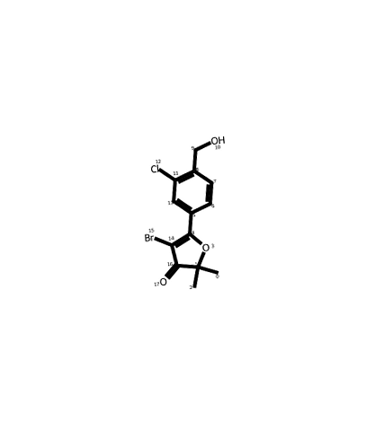 CC1(C)OC(c2ccc(CO)c(Cl)c2)=C(Br)C1=O